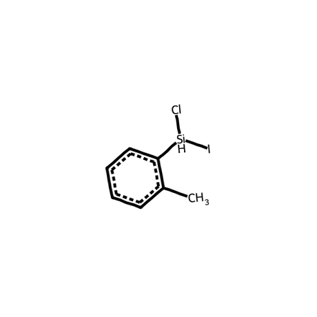 Cc1ccccc1[SiH](Cl)I